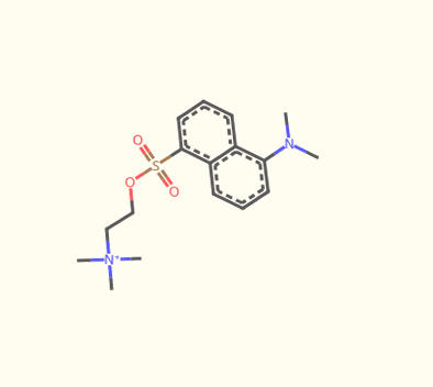 CN(C)c1cccc2c(S(=O)(=O)OCC[N+](C)(C)C)cccc12